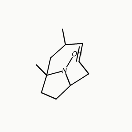 CC1/C=C/CC2CCC(C)(C1)N2O